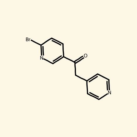 O=C(Cc1ccncc1)c1ccc(Br)nc1